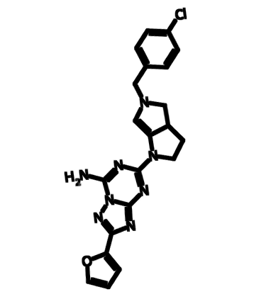 Nc1nc(N2CCC3CN(Cc4ccc(Cl)cc4)C=C32)nc2nc(-c3ccco3)nn12